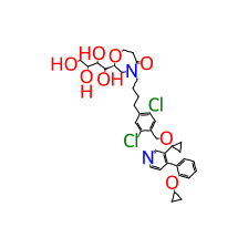 O=C1CCO[C@H](C(O)C(O)C(O)CO)CN1CCCCc1cc(Cl)c(COC2(c3cnccc3-c3ccccc3OC3CC3)CC2)cc1Cl